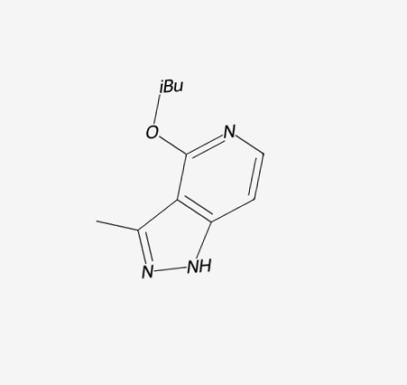 CCC(C)Oc1nccc2[nH]nc(C)c12